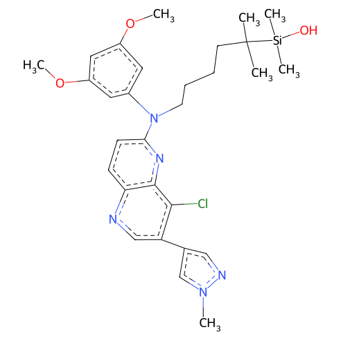 COc1cc(OC)cc(N(CCCCC(C)(C)[Si](C)(C)O)c2ccc3ncc(-c4cnn(C)c4)c(Cl)c3n2)c1